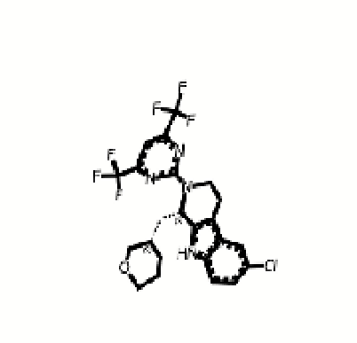 FC(F)(F)c1cc(C(F)(F)F)nc(N2CCc3c([nH]c4ccc(Cl)cc34)[C@@H]2C[C@@H]2CCCOC2)n1